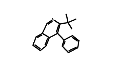 CC(C)(C)c1ncc2ccccc2c1-c1ccccc1